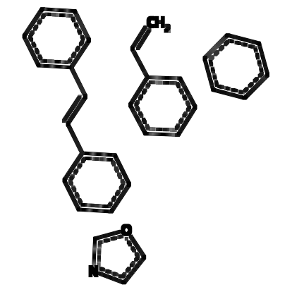 C(=Cc1ccccc1)c1ccccc1.C=Cc1ccccc1.c1ccccc1.c1cocn1